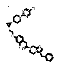 O=C(Cc1ccc(OCC[C@@H]2C[C@@H]2C2CCN(c3ncc(Cl)cn3)CC2)cc1F)N1CCn2c(Cc3ccccc3)cnc2C1